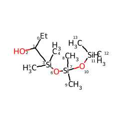 CCC(O)[Si](C)(C)O[Si](C)(C)O[SiH](C)C